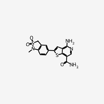 CN1c2ccc(-c3cc4c(N)ncc(C(N)=O)c4s3)cc2CS1(=O)=O